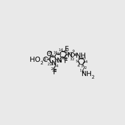 NCCc1ccc(NC2CN(c3c(F)cc4cc5c(=O)c(C(=O)O)cn(CCF)c5nc4c3F)C2)cc1